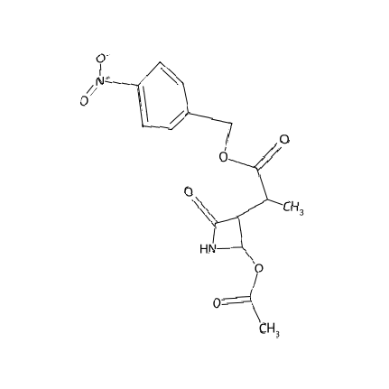 CC(=O)OC1NC(=O)C1C(C)C(=O)OCc1ccc([N+](=O)[O-])cc1